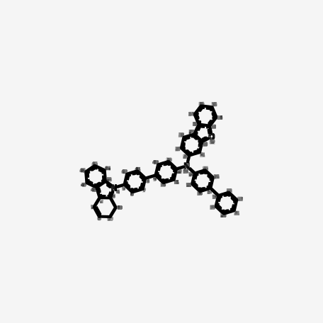 C1=Cc2c(n(-c3ccc(-c4ccc(N(c5ccc(-c6ccccc6)cc5)c5ccc6c(c5)oc5ccccc56)cc4)cc3)c3ccccc23)CC1